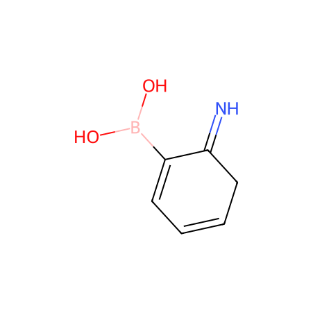 N=C1CC=CC=C1B(O)O